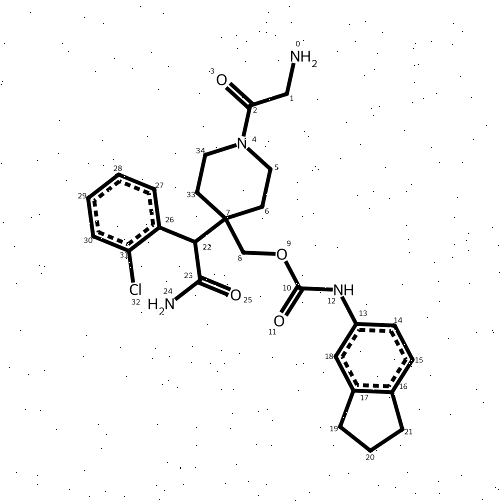 NCC(=O)N1CCC(COC(=O)Nc2ccc3c(c2)CCC3)(C(C(N)=O)c2ccccc2Cl)CC1